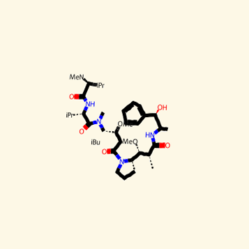 CC[C@H](C)[C@@H](C(CC(=O)N1CCC[C@H]1[C@H](OC)[C@@H](C)C(=O)NC(C)[C@@H](O)c1ccccc1)OC)N(C)C(=O)[C@@H](NC(=O)[C@@H](NC)C(C)C)C(C)C